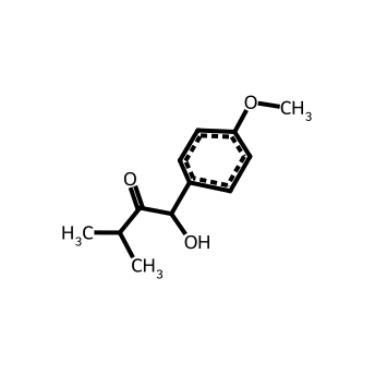 COc1ccc(C(O)C(=O)C(C)C)cc1